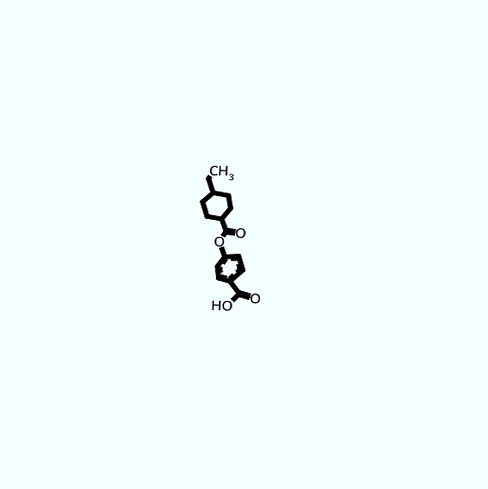 CCC1CCC(C(=O)Oc2ccc(C(=O)O)cc2)CC1